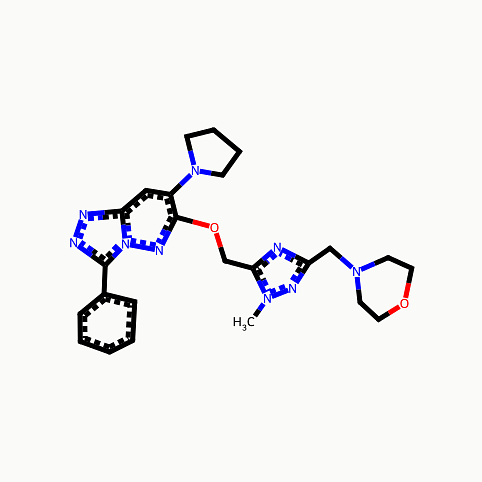 Cn1nc(CN2CCOCC2)nc1COc1nn2c(-c3ccccc3)nnc2cc1N1CCCC1